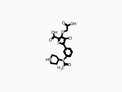 CC(=O)N(c1cccc(-c2sc(C(=O)O)c(OCC(=O)O)c2Cl)c1)C1CCNCC1